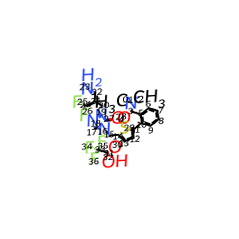 CN(C)C(=O)c1ccccc1-c1ccc(Cn2cnn(CC(CN)=C(F)F)c2=O)s1.O=C(O)C(F)(F)F